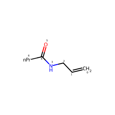 C=CCNC(=O)C[CH]C